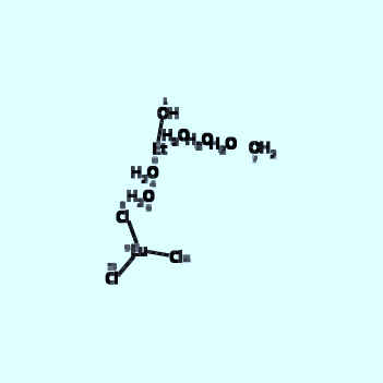 CCO.O.O.O.O.O.O.[Cl][Eu]([Cl])[Cl]